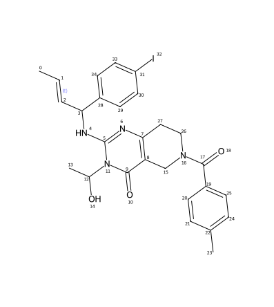 C/C=C/C(Nc1nc2c(c(=O)n1C(C)O)CN(C(=O)c1ccc(C)cc1)CC2)c1ccc(I)cc1